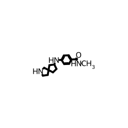 CNC(=O)c1ccc(NC2CCC3(CCNC3)C2)cc1